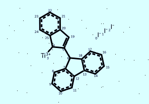 [I-].[I-].[I-].[Ti+3][CH]1C(C2c3ccccc3-c3ccccc32)=Cc2ccccc21